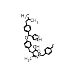 CC(=NOCc1ccc(F)cc1)C(Cc1ccc(OC(c2ccc(CC(C)C)cc2)c2cn[nH]c2)cc1)C(=O)O